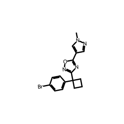 Cn1cc(-c2nc(C3(c4ccc(Br)cc4)CCC3)no2)cn1